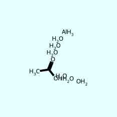 CC(=O)O.O.O.O.O.O.O.[AlH3]